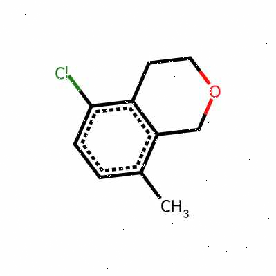 Cc1ccc(Cl)c2c1COCC2